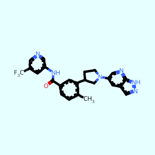 Cc1ccc(C(=O)Nc2cncc(C(F)(F)F)c2)cc1C1CCN(c2cnc3[nH]ncc3c2)C1